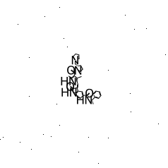 Cc1[nH]c(C=C2C(=O)Nc3ccc(C(=O)N[C@H](C)c4ccccc4)cc32)c(C)c1C(=O)N1CCC[C@@H]1CN1CCCC1